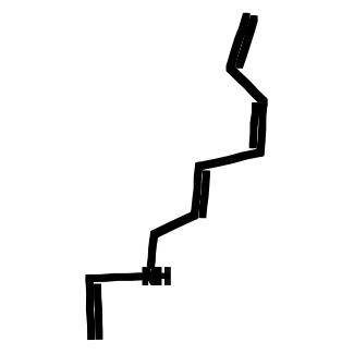 C=C/C=C\C=C\CNC=C